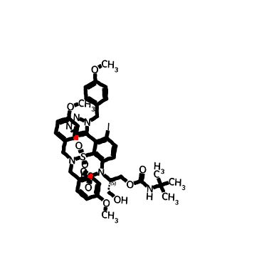 COc1ccc(CN(Cc2ccc(OC)cc2)S(=O)(=O)c2c(N([C@@H](CO)COC(=O)NC(C)(C)C)[SH](=O)=O)ccc(I)c2-c2nnnn2Cc2ccc(OC)cc2)cc1